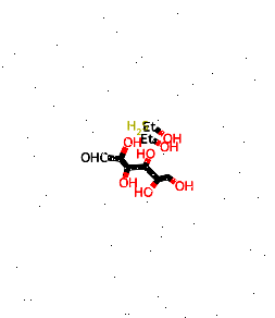 CCO.CCO.O=CC(O)C(O)C(O)C(O)CO.S